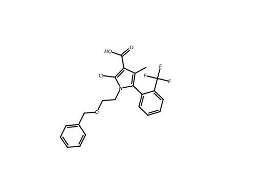 Cc1c(C(=O)O)c(Cl)n(CCOCc2ccccc2)c1-c1ccccc1C(F)(F)F